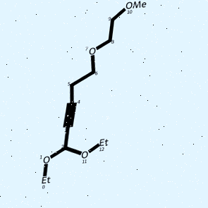 CCOC(C#CCCOCCOC)OCC